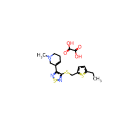 CCc1ccc(CSc2nsnc2C2=CCCN(C)C2)s1.O=C(O)C(=O)O